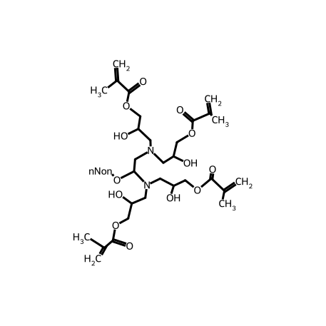 C=C(C)C(=O)OCC(O)CN(CC(O)COC(=O)C(=C)C)CC(OCCCCCCCCC)N(CC(O)COC(=O)C(=C)C)CC(O)COC(=O)C(=C)C